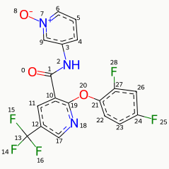 O=C(Nc1ccc[n+]([O-])c1)c1cc(C(F)(F)F)cnc1Oc1ccc(F)cc1F